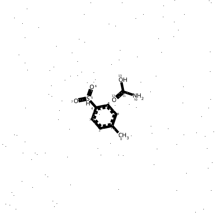 Cc1ccc([SH](=O)=O)cc1.NC(=O)O